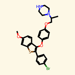 COc1ccc2c(Oc3ccc(OCC(C)N4CCNCC4)cc3)c(-c3ccc(Br)cc3)sc2c1